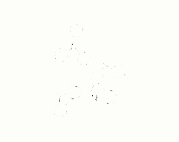 c1ccc(-n2c3ccccc3c3cc(-c4cc5c(-c6ccc7sc8ccccc8c7c6)nc6ccccc6c5c5c4sc4ccccc45)ccc32)cc1